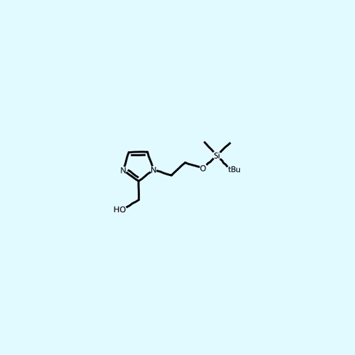 CC(C)(C)[Si](C)(C)OCCn1ccnc1CO